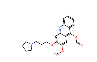 COc1cc2c(OC=O)c3ccccc3nc2cc1OCCCN1CCCC1